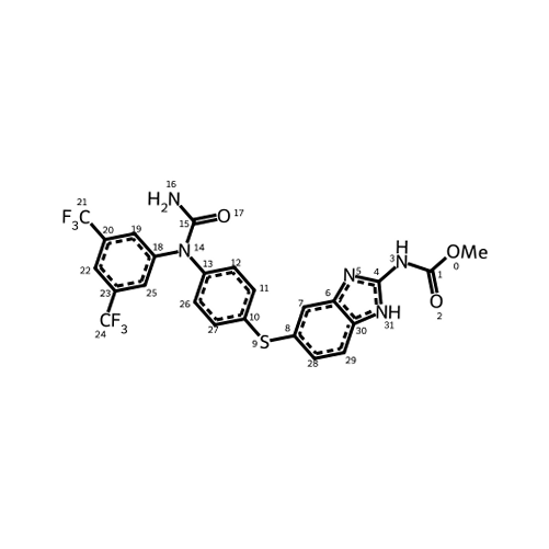 COC(=O)Nc1nc2cc(Sc3ccc(N(C(N)=O)c4cc(C(F)(F)F)cc(C(F)(F)F)c4)cc3)ccc2[nH]1